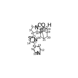 O=C(O)N1CCC(c2nc(-c3ccncc3)cs2)C1C12CC3CC(CC(C3)C1)C2